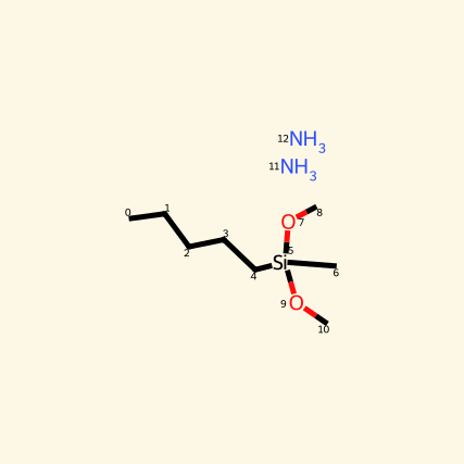 CCCCC[Si](C)(OC)OC.N.N